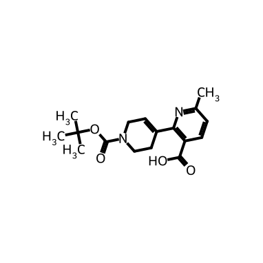 Cc1ccc(C(=O)O)c(C2=CCN(C(=O)OC(C)(C)C)CC2)n1